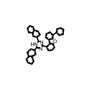 c1ccc(-c2cccc3c2oc2cccc(C4=NC(c5ccc6ccccc6c5)NC(c5ccc6ccccc6c5)=N4)c23)cc1